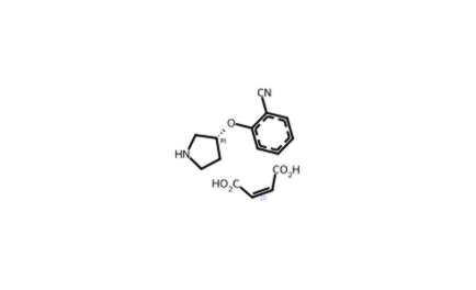 N#Cc1ccccc1O[C@@H]1CCNC1.O=C(O)/C=C\C(=O)O